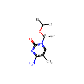 CCC(CC)O[C@H](C(C)C)n1cc(C)c(N)nc1=O